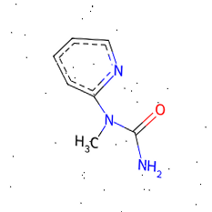 CN(C(N)=O)c1ccccn1